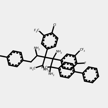 CC(N)C(c1ccc(Cl)c(C(F)(F)F)c1)(C(N)Cc1ccc(F)cc1)C(N)(c1ccc(F)c(C(F)(F)F)c1)C(C)(N)c1ccc(-c2ccccc2)cc1